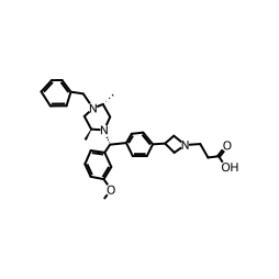 COc1cccc([C@@H](c2ccc(C3CN(CCC(=O)O)C3)cc2)N2C[C@@H](C)N(Cc3ccccc3)C[C@@H]2C)c1